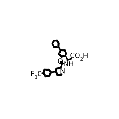 O=C(O)CC(NC(=O)c1cc(-c2ccc(C(F)(F)F)cc2)ccn1)c1ccc(-c2ccccc2)cc1